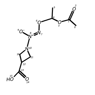 CC(=O)OC(C)ON=[N+]([O-])N1CC(C(=O)O)C1